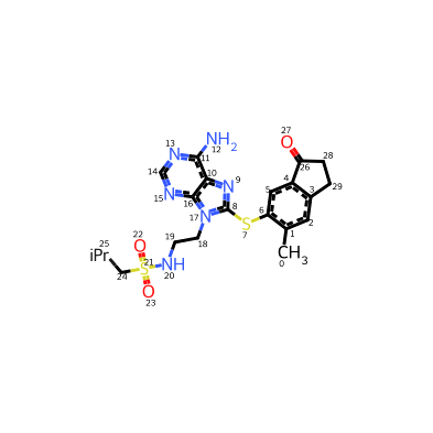 Cc1cc2c(cc1Sc1nc3c(N)ncnc3n1CCNS(=O)(=O)CC(C)C)C(=O)CC2